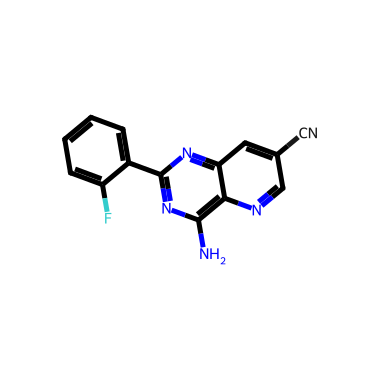 N#Cc1cnc2c(N)nc(-c3ccccc3F)nc2c1